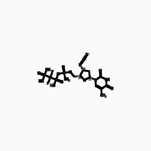 BP(=O)(OC[C@H]1O[C@@H](n2cc(C)c(=O)[nH]c2=O)C[C@H]1N=[N+]=[N-])OP(=O)(O)C(F)(F)P(=O)(O)O